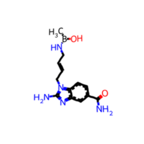 CB(O)NC/C=C/Cn1c(N)nc2cc(C(N)=O)ccc21